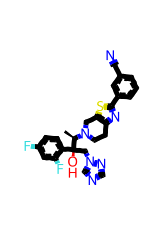 C[C@@H](N1CCc2nc(-c3cccc(C#N)c3)sc2C1)[C@](O)(Cn1cncn1)c1ccc(F)cc1F